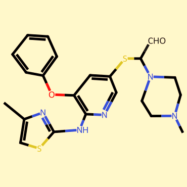 Cc1csc(Nc2ncc(SC(C=O)N3CCN(C)CC3)cc2Oc2ccccc2)n1